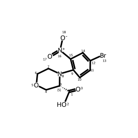 O=C(O)[C@@H]1COCCN1c1ccc(Br)cc1[N+](=O)[O-]